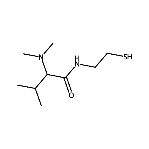 CC(C)C(C(=O)NCCS)N(C)C